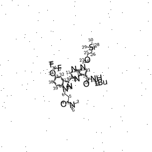 CN(C)C(=O)CCn1nc(-c2cnc3c(n2)c(C(=O)NC(C)(C)C)cn3COCC[Si](C)(C)C)c2cc(OC(F)F)ccc21